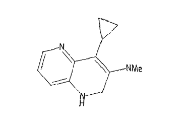 CNC1=C(C2CC2)c2ncccc2NC1